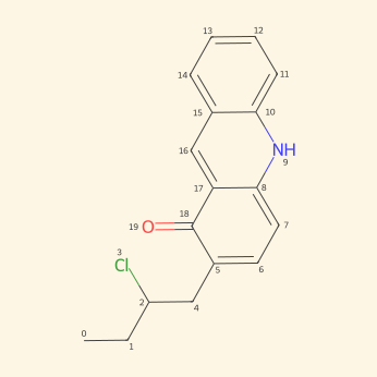 CCC(Cl)Cc1ccc2[nH]c3ccccc3cc-2c1=O